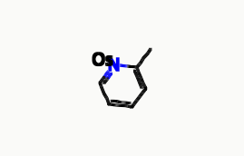 Cc1ccccn1.[Os]